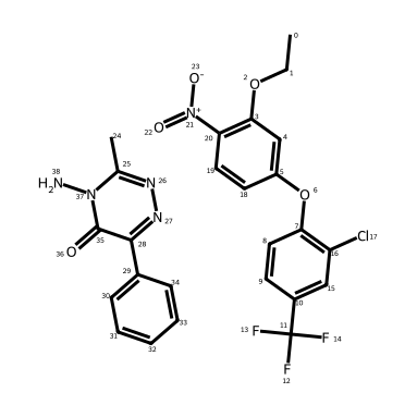 CCOc1cc(Oc2ccc(C(F)(F)F)cc2Cl)ccc1[N+](=O)[O-].Cc1nnc(-c2ccccc2)c(=O)n1N